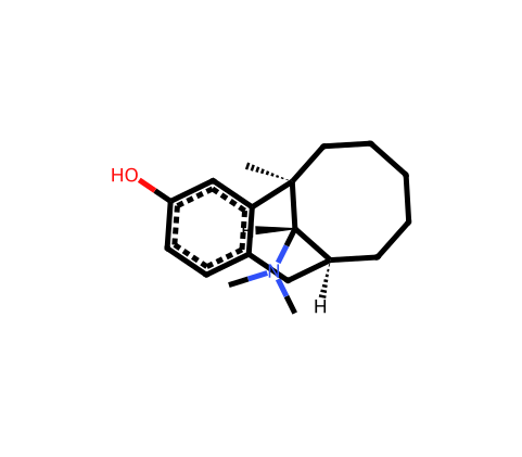 CN(C)[C@H]1[C@H]2CCCCC[C@]1(C)c1cc(O)ccc1C2